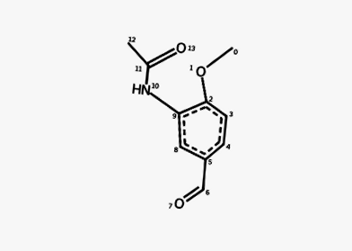 COc1ccc(C=O)cc1NC(C)=O